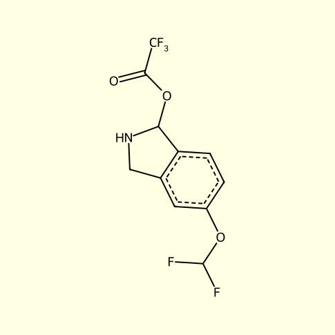 O=C(OC1NCc2cc(OC(F)F)ccc21)C(F)(F)F